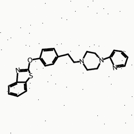 [c]1ccnc(N2CCN(CCc3ccc(Oc4nc5ccccc5s4)cc3)CC2)c1